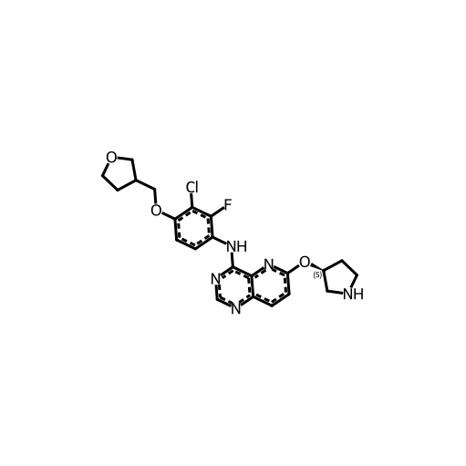 Fc1c(Nc2ncnc3ccc(O[C@H]4CCNC4)nc23)ccc(OCC2CCOC2)c1Cl